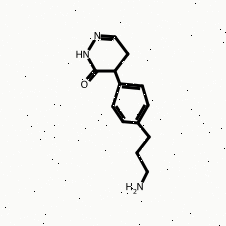 NCCCc1ccc(C2CC=NNC2=O)cc1